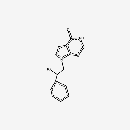 O=c1[nH]cnc2c1cnn2CC(O)c1ccccc1